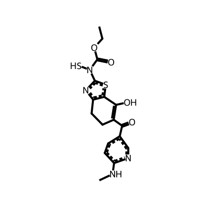 CCOC(=O)N(S)c1nc2c(s1)C(O)=C(C(=O)c1ccc(NC)nc1)CC2